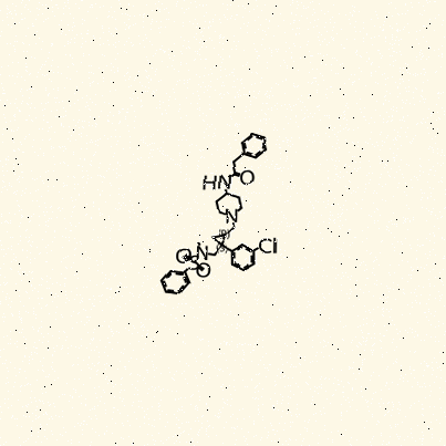 CN(C[C@@]1(c2cccc(Cl)c2)C[C@H]1CN1CCC(NC(=O)Cc2ccccc2)CC1)S(=O)(=O)c1ccccc1